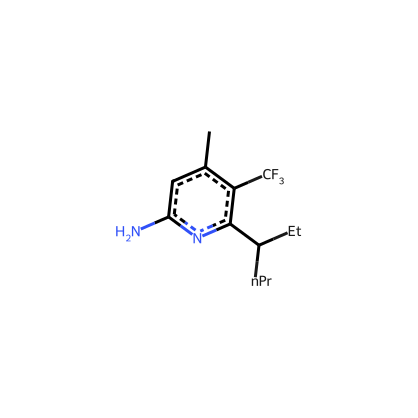 CCCC(CC)c1nc(N)cc(C)c1C(F)(F)F